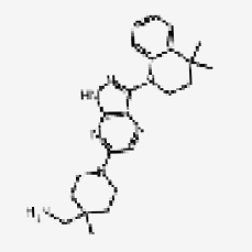 CC1(CN)CCN(c2cnc3c(N4CCC(C)(C)c5ccccc54)n[nH]c3n2)CC1